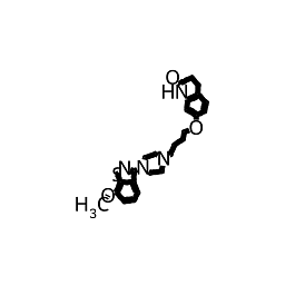 COc1cccc2c(N3CCN(CCCCOc4ccc5c(c4)NC(=O)CC5)CC3)nsc12